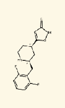 O=c1cc([C@@H]2CCN[C@H](Cc3c(F)cccc3F)C2)o[nH]1